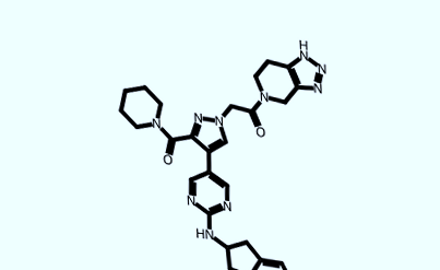 O=C(Cn1cc(-c2cnc(NC3Cc4ccccc4C3)nc2)c(C(=O)N2CCCCC2)n1)N1CCc2[nH]nnc2C1